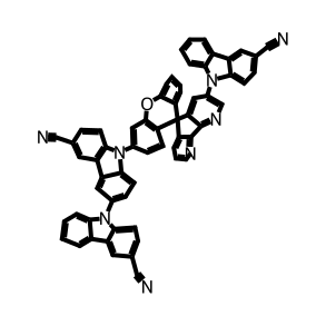 N#Cc1ccc2c(c1)c1ccccc1n2-c1cnc2c(c1)C1(c3ccccc3Oc3cc(-n4c5ccc(C#N)cc5c5cc(-n6c7ccccc7c7cc(C#N)ccc76)ccc54)ccc31)c1cccnc1-2